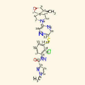 C[C@@H]1COCC12CCN(c1cnc(Sc3cccc(NC(=O)c4ccn(C)n4)c3Cl)cn1)CC2